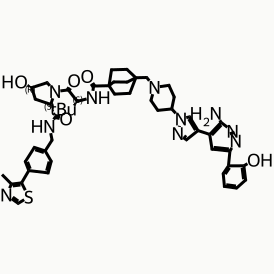 Cc1ncsc1-c1ccc(CNC(=O)[C@@H]2C[C@@H](O)CN2C(=O)[C@@H](NC(=O)C23CCC(CN4CCC(n5cc(-c6cc(-c7ccccc7O)nnc6N)cn5)CC4)(CC2)CC3)C(C)(C)C)cc1